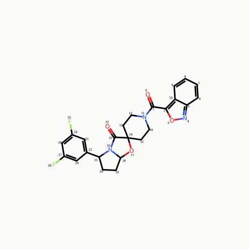 O=C(c1onc2ccccc12)N1CCC2(CC1)OC1CCC(c3cc(F)cc(F)c3)N1C2=O